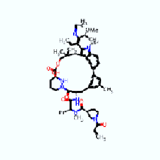 C=CC(=O)N1CC[C@H](C(=O)N(C)[C@H](C(=O)N[C@H]2Cc3cc(C)cc(c3)-c3ccc4c(c3)c(c(/C(C=C)=C(/N=C\C)[C@H](C)OC)n4CC)CC(C)(C)COC(=O)[C@@]3(O)CCCN(N3)C2=O)C(C)C)C1